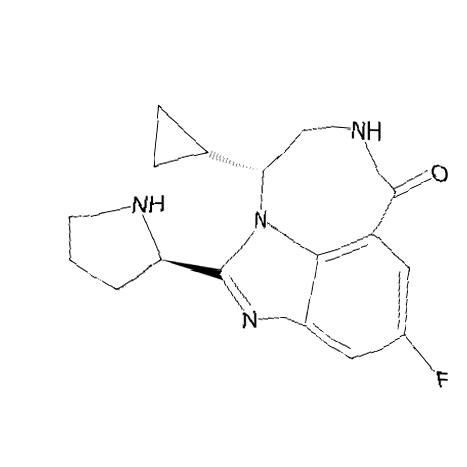 O=C1NC[C@@H](C2CC2)n2c([C@H]3CCCN3)nc3cc(F)cc1c32